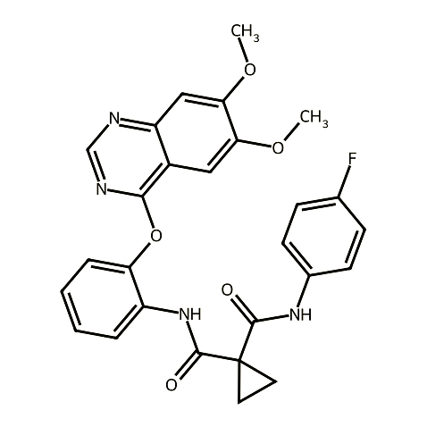 COc1cc2ncnc(Oc3ccccc3NC(=O)C3(C(=O)Nc4ccc(F)cc4)CC3)c2cc1OC